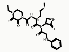 CCN1CCN(C(=O)N[C@@H](CCSC)C(=O)N(C(=O)CNc2ccccc2)C2CNC2=O)C(=O)C1=O